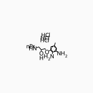 CCCNCC(O)COc1cc(C)cc(N)c1N.Cl.Cl.Cl